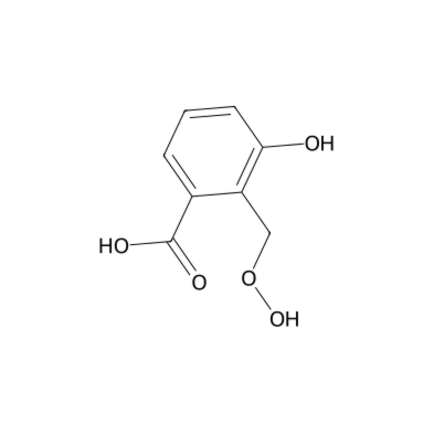 O=C(O)c1cccc(O)c1COO